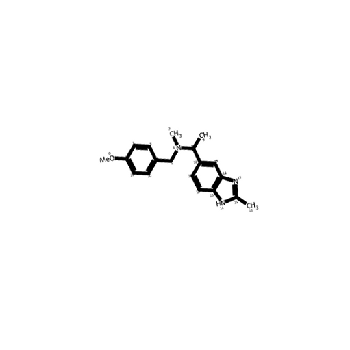 COc1ccc(CN(C)C(C)c2ccc3[nH]c(C)nc3c2)cc1